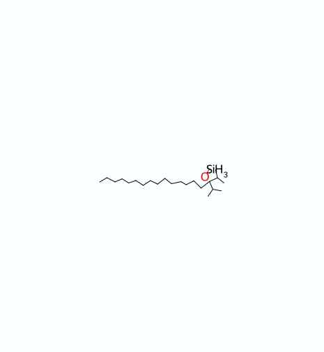 CCCCCCCCCCCCCCCC(O[SiH3])(C(C)C)C(C)C